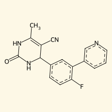 CC1=C(C#N)C(c2ccc(F)c(-c3cccnc3)c2)NC(=O)N1